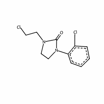 O=C1N(CCCl)CCN1c1ccccc1Cl